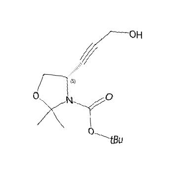 CC(C)(C)OC(=O)N1[C@@H](C#CCO)COC1(C)C